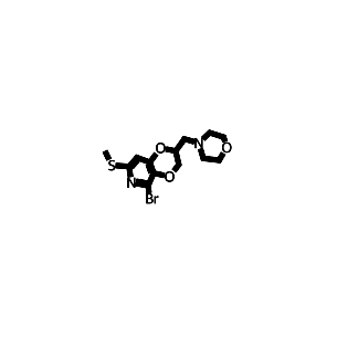 CSc1cc2c(c(Br)n1)OCC(CN1CCOCC1)O2